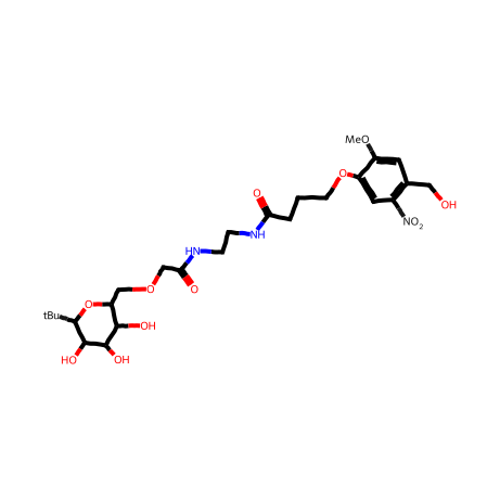 COc1cc(CO)c([N+](=O)[O-])cc1OCCCC(=O)NCCNC(=O)COCC1OC(C(C)(C)C)C(O)C(O)C1O